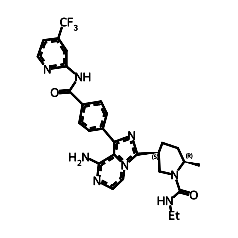 CCNC(=O)N1C[C@@H](c2nc(-c3ccc(C(=O)Nc4cc(C(F)(F)F)ccn4)cc3)c3c(N)nccn23)CC[C@H]1C